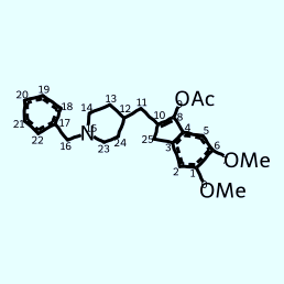 COc1cc2c(cc1OC)C(OC(C)=O)=C(CC1CCN(Cc3ccccc3)CC1)C2